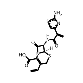 C=CC1=C(C(=O)O)N2C(=O)[C@@H](NC(=O)C(=C)c3csc(N)n3)[C@H]2SC1